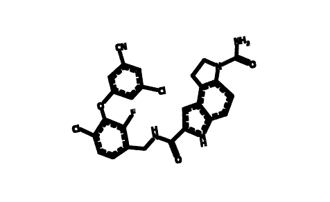 N#Cc1cc(Cl)cc(Oc2c(Cl)ccc(CNC(=O)c3cc4c5c(ccc4[nH]3)N(C(N)=O)CC5)c2F)c1